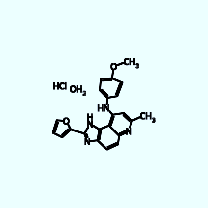 COc1ccc(Nc2cc(C)nc3ccc4nc(-c5ccco5)[nH]c4c23)cc1.Cl.O